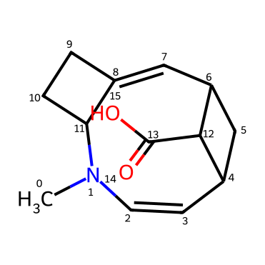 CN1/C=C\C2CC(/C=C3/CCC31)C2C(=O)O